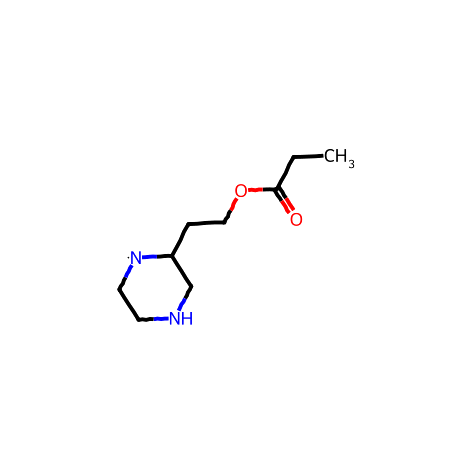 CCC(=O)OCCC1CNCC[N]1